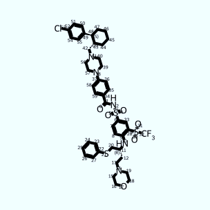 O=C(NS(=O)(=O)c1ccc(N[C@H](CCN2CCOCC2)CSc2ccccc2)c(S(=O)(=O)C(F)(F)F)c1)c1ccc(N2CCN(C[C@H]3CCCC[C@@H]3c3ccc(Cl)cc3)CC2)cc1